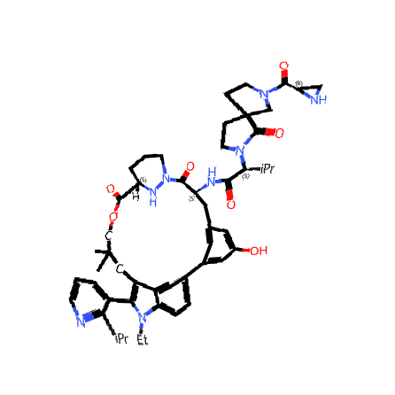 CCn1c(-c2cccnc2C(C)C)c2c3cc(ccc31)-c1cc(O)cc(c1)C[C@H](NC(=O)[C@H](C(C)C)N1CCC3(CCN(C(=O)[C@H]4CN4)C3)C1=O)C(=O)N1CCC[C@H](N1)C(=O)OCC(C)(C)C2